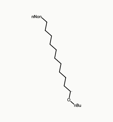 CCCCCCCCCCCCCCCCCCC[CH]OCCCC